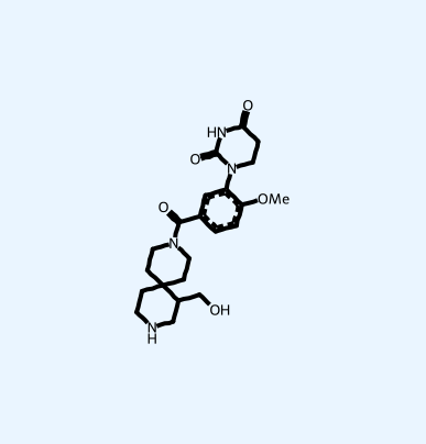 COc1ccc(C(=O)N2CCC3(CCNCC3CO)CC2)cc1N1CCC(=O)NC1=O